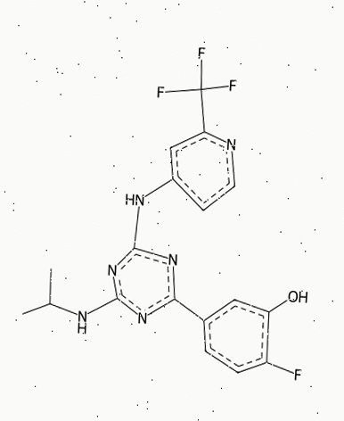 CC(C)Nc1nc(Nc2ccnc(C(F)(F)F)c2)nc(-c2ccc(F)c(O)c2)n1